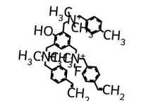 C=Cc1ccc(C[N+](C)(C)Cc2cc(C[N+](C)(CF)Cc3ccc(C=C)cc3)cc(C[N+](C)(C)Cc3ccc(C)cc3)c2O)cc1